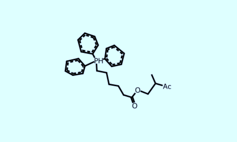 CC(=O)C(C)COC(=O)CCCCC[PH](c1ccccc1)(c1ccccc1)c1ccccc1